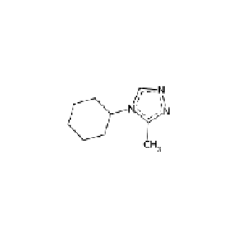 Cc1nncn1C1CCCCC1